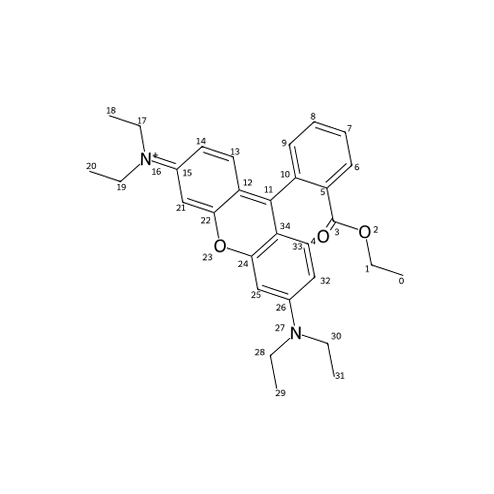 CCOC(=O)c1ccccc1-c1c2ccc(=[N+](CC)CC)cc-2oc2cc(N(CC)CC)ccc12